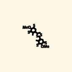 COC1C(=S)CC(C2CSC(C3=C(C)C(=S)C(OC)C(=S)C3)S2)=C(C)C1=S